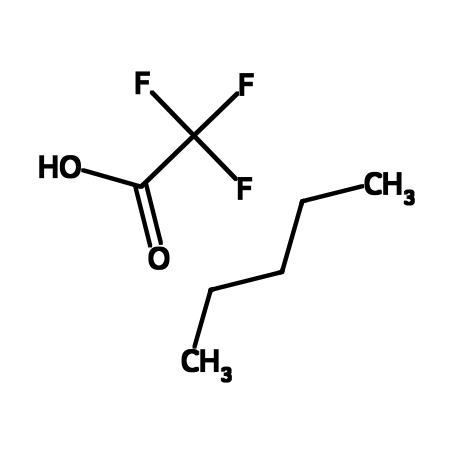 CCCCC.O=C(O)C(F)(F)F